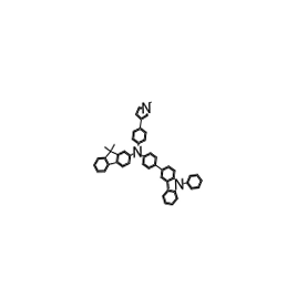 Cn1ccc(-c2ccc(N(c3ccc(-c4ccc5c(c4)c4ccccc4n5-c4ccccc4)cc3)c3ccc4c(c3)C(C)(C)c3ccccc3-4)cc2)c1